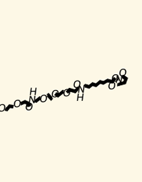 O=C(CCOCCCO)NCCOCCOCCOCCC(=O)NCCCCCCCC(=O)ON1CCCC1=O